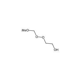 COCOOCCO